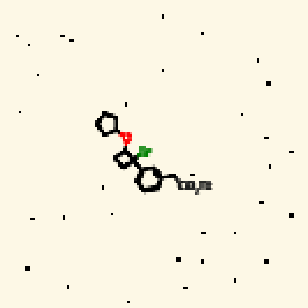 CCOC(=O)Cc1cccc(C2(Br)CCC2OC2CCCC2)c1